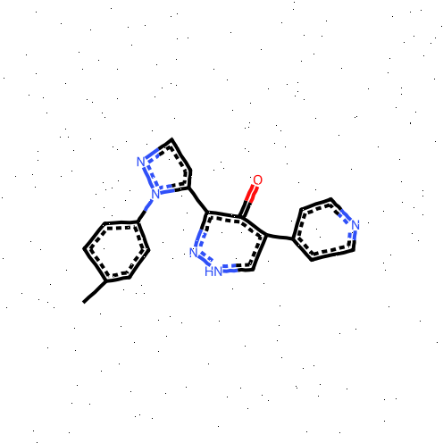 Cc1ccc(-n2nccc2-c2n[nH]cc(-c3ccncc3)c2=O)cc1